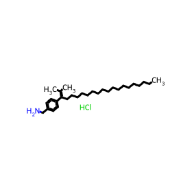 CCCCCCCCCCCCCCCCCCC(=C(C)C)c1ccc(CN)cc1.Cl